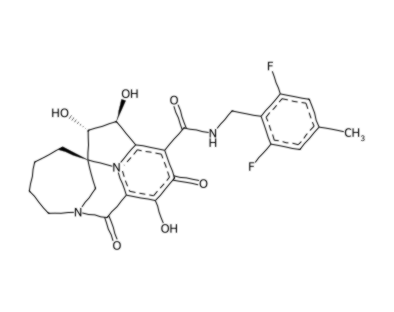 Cc1cc(F)c(CNC(=O)c2c3n4c(c(O)c2=O)C(=O)N2CCCC[C@@]4(C2)[C@H](O)[C@H]3O)c(F)c1